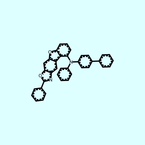 c1ccc(-c2ccc(N(c3ccccc3)c3cccc4oc5cc6oc(-c7ccccc7)nc6cc5c34)cc2)cc1